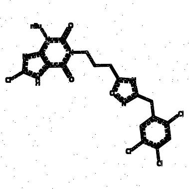 CCCCn1c(=O)n(CCCc2nc(Cc3cc(Cl)c(Cl)cc3Cl)no2)c(=O)c2[nH]c(Cl)nc21